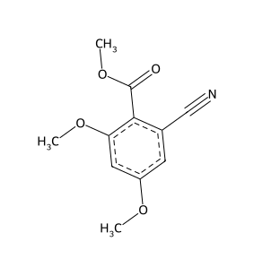 COC(=O)c1c(C#N)cc(OC)cc1OC